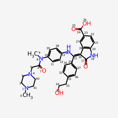 CN1CCN(CC(=O)N(C)c2ccc(NC(=C3C(=O)Nc4ccc(C(=O)O)cc43)c3ccc(CCO)cc3)cc2)CC1